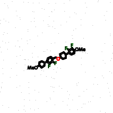 COc1ccc(C2CCC(OCc3ccc(C4CCC(OC)CC4)c(F)c3F)CC2)c(F)c1F